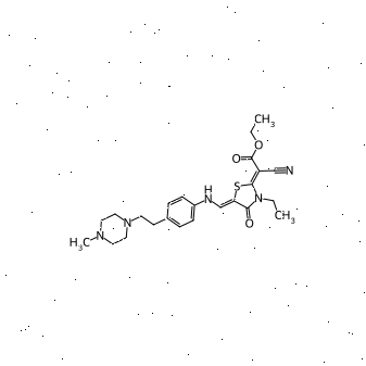 CCOC(=O)C(C#N)=c1sc(=CNc2ccc(CCN3CCN(C)CC3)cc2)c(=O)n1CC